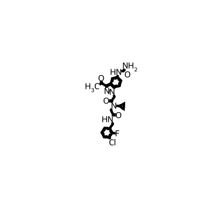 CC(=O)c1nn(CC(=O)N(CC(=O)NCc2cccc(Cl)c2F)C2CC2)c2ccc(NC(N)=O)cc12